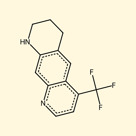 FC(F)(F)c1ccnc2cc3c(cc12)CCCN3